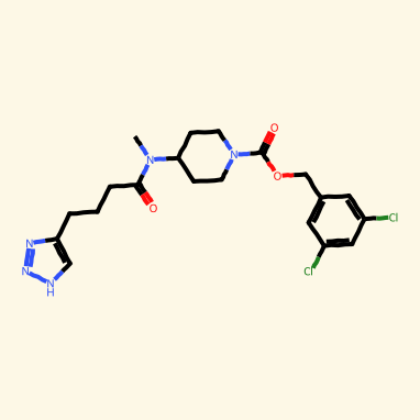 CN(C(=O)CCCc1c[nH]nn1)C1CCN(C(=O)OCc2cc(Cl)cc(Cl)c2)CC1